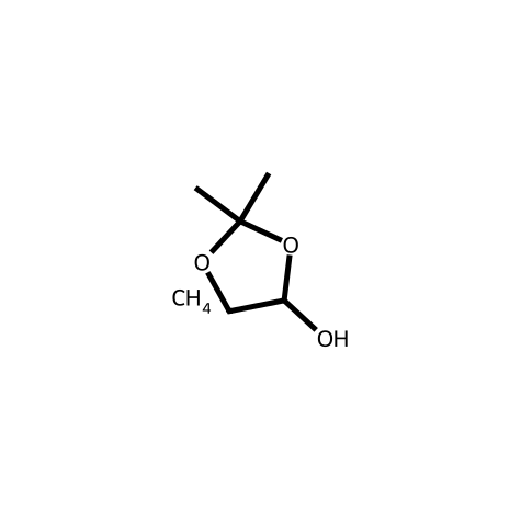 C.CC1(C)OCC(O)O1